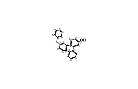 Oc1ccc(-c2cc(Cc3ccccc3)ccc2-c2ccccc2)cc1